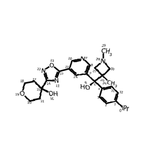 CC(C)c1ccc([C@](O)(c2cncc(-c3nc(C4(O)CCOCC4)no3)c2)C2(C)CN(C)C2)cc1